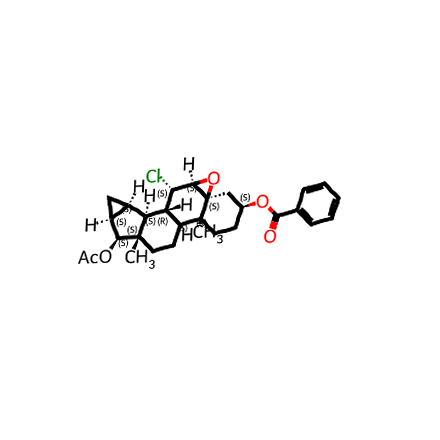 CC(=O)O[C@H]1[C@H]2C[C@H]2[C@H]2[C@@H]3[C@H](Cl)[C@H]4O[C@]45C[C@@H](OC(=O)c4ccccc4)CC[C@]5(C)[C@H]3CC[C@@]21C